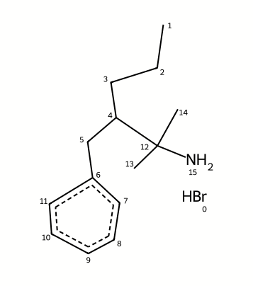 Br.CCCC(Cc1ccccc1)C(C)(C)N